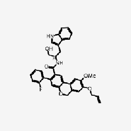 C=CCOc1cc2c(cc1OC)-c1cc(C(=O)N[C@@H](CO)Cc3c[nH]c4ccccc34)c(-c3ccccc3F)cc1OC2